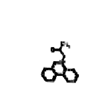 CC(=O)C[n+]1cc2ccccc2c2ccccc21